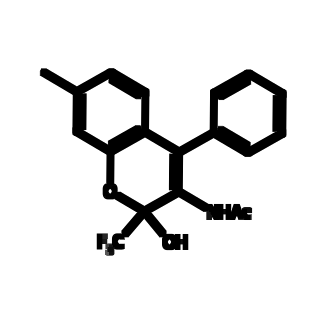 CC(=O)NC1=C(c2ccccc2)c2ccc(C)cc2OC1(O)C(F)(F)F